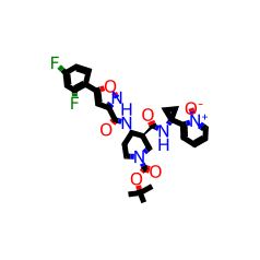 CC(C)(C)OC(=O)N1CC[C@H](NC(=O)c2cc(-c3ccc(F)cc3F)on2)[C@@H](C(=O)NC2(c3cccc[n+]3[O-])CC2)C1